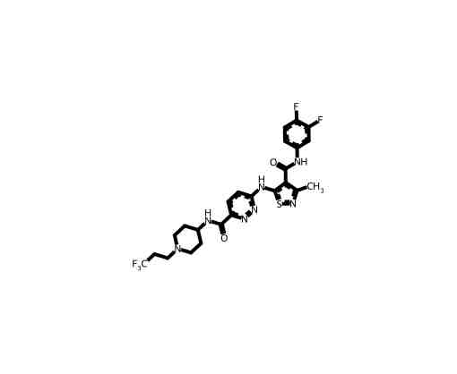 Cc1nsc(Nc2ccc(C(=O)NC3CCN(CCC(F)(F)F)CC3)nn2)c1C(=O)Nc1ccc(F)c(F)c1